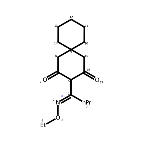 CCC/C(=N\OCC)C1C(=O)CC2(CCCCC2)CC1=O